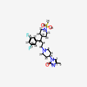 CC1=CN(C2CCN(CC[C@@H](c3cc(F)cc(F)c3)C3CCN(S(C)(=O)=O)CC3)CC2)C(=O)[N]1